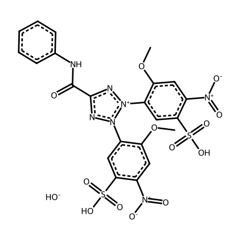 COc1cc([N+](=O)[O-])c(S(=O)(=O)O)cc1-n1nc(C(=O)Nc2ccccc2)n[n+]1-c1cc(S(=O)(=O)O)c([N+](=O)[O-])cc1OC.[OH-]